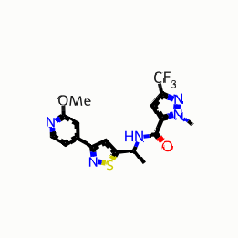 COc1cc(-c2cc(C(C)NC(=O)c3cc(C(F)(F)F)nn3C)sn2)ccn1